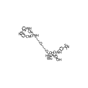 Cc1ncsc1-c1ccc(CNC(=O)[C@@H]2C[C@@H](O)CN2C(=O)[C@@H](NC(=O)COCCCCCOCCCCCNC(=O)CN2CCC(Nc3cccc(-c4cnc5ccc(C#N)cn45)n3)C2)C(C)(C)C)cc1